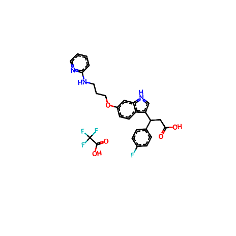 O=C(O)C(F)(F)F.O=C(O)CC(c1ccc(F)cc1)c1c[nH]c2cc(OCCCNc3ccccn3)ccc12